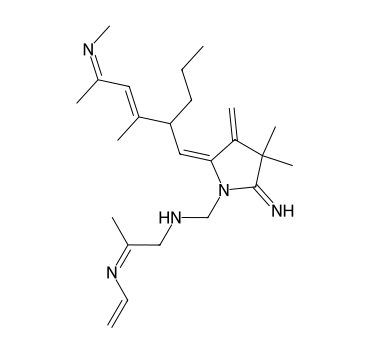 C=C/N=C(/C)CNCN1C(=N)C(C)(C)C(=C)/C1=C\C(CCC)/C(C)=C/C(C)=N\C